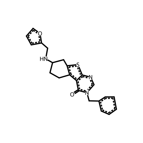 O=c1c2c3c(sc2ncn1Cc1ccccc1)CC(NCc1ccco1)CC3